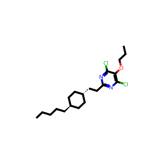 CCCCC[C@H]1CC[C@H](CCc2nc(Cl)c(OCCC)c(Cl)n2)CC1